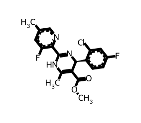 COC(=O)C1=C(C)NC(c2ncc(C)cc2F)=N[C@H]1c1ccc(F)cc1Cl